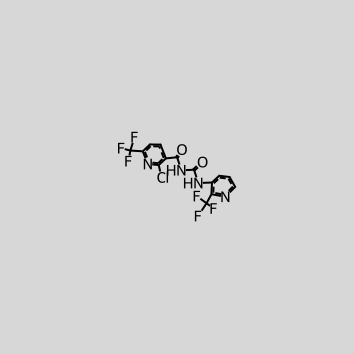 O=C(NC(=O)c1ccc(C(F)(F)F)nc1Cl)Nc1cccnc1C(F)(F)F